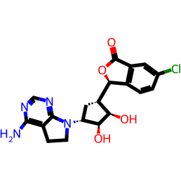 Nc1ncnc2c1CCN2[C@@H]1C[C@H]([C@H]2OC(=O)c3cc(Cl)ccc32)[C@@H](O)[C@H]1O